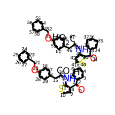 O=C(c1ccccc1)c1ccsc1NC(Cc1ccc(OCc2ccccc2)cc1)C(=O)O.O=C(c1ccccc1)c1sccc1NC(Cc1ccc(OCc2ccccc2)cc1)C(=O)O